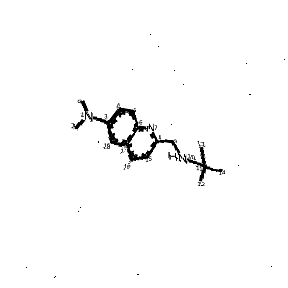 CN(C)c1ccc2nc(CNC(C)(C)C)ccc2c1